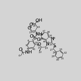 CC(=O)Nc1ccc(S(=O)(=O)NC(C=O)CC(=O)O)c(O[C@H](C)Cn2c(SCc3ccccc3)nc3ccccc32)c1